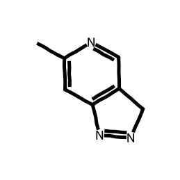 Cc1cc2c(cn1)CN=N2